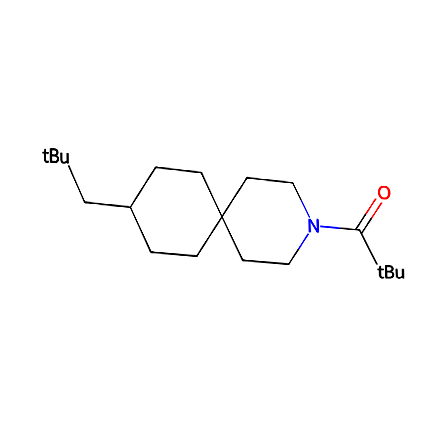 CC(C)(C)CC1CCC2(CC1)CCN(C(=O)C(C)(C)C)CC2